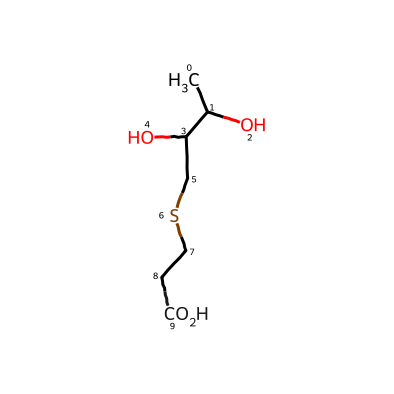 CC(O)C(O)CSCCC(=O)O